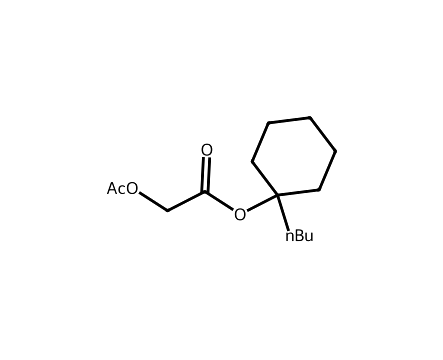 CCCCC1(OC(=O)COC(C)=O)CCCCC1